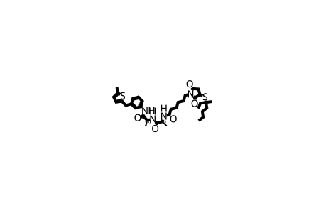 CCCCC(C)(CC)SC1CC(=O)N(CCCCCC(=O)N[C@@H](C)C(=O)N[C@@H](C)C(=O)Nc2cccc(Cc3ccc(C)s3)c2)C1=O